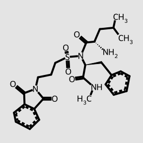 CNC(=O)[C@H](Cc1ccccc1)N(C(=O)[C@@H](N)CC(C)C)S(=O)(=O)CCCN1C(=O)c2ccccc2C1=O